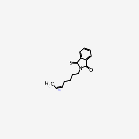 C/C=C\CCCCN1C(=O)c2ccccc2C1=S